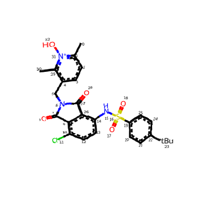 Cc1ccc(CN2C(=O)c3c(Cl)ccc(NS(=O)(=O)c4ccc(C(C)(C)C)cc4)c3C2=O)c(C)[n+]1O